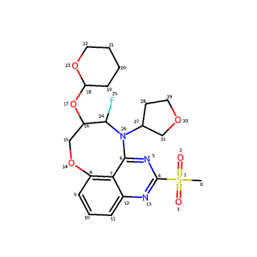 CS(=O)(=O)c1nc2c3c(cccc3n1)OCC(OC1CCCCO1)C(F)N2C1CCOC1